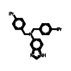 CC(C)c1ccc(CN(Cc2ccc(C(C)C)cc2)c2ccc3[nH]cnc3c2)cc1